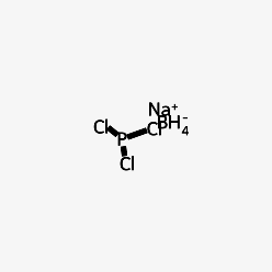 ClP(Cl)Cl.[BH4-].[Na+]